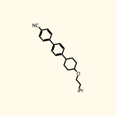 CC(C)CCOC1CCC(c2ccc(-c3ccc(C#N)cc3)cc2)CC1